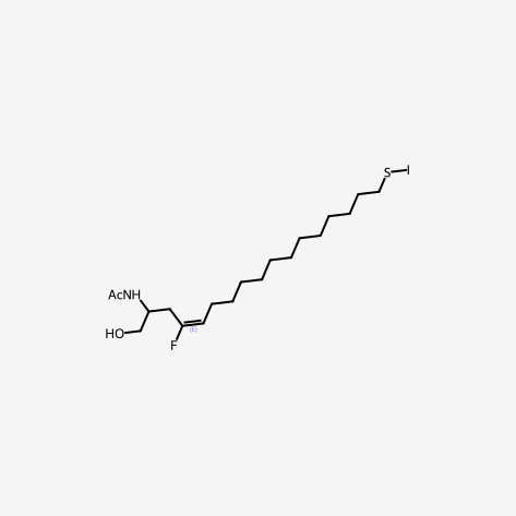 CC(=O)NC(CO)C/C(F)=C\CCCCCCCCCCCCSI